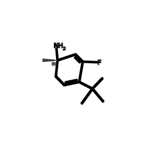 CC(C)(C)C1=CC[C@@](C)(N)C=C1F